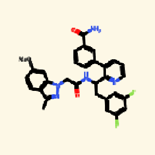 COc1ccc2c(C)nn(CC(=O)NC(Cc3cc(F)cc(F)c3)c3ncccc3-c3cccc(C(N)=O)c3)c2c1